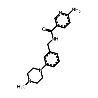 CN1CCN(c2cccc(CNC(=O)c3ccc(N)nc3)c2)CC1